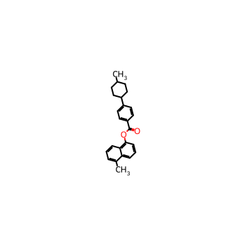 Cc1cccc2c(OC(=O)c3ccc(C4CCC(C)CC4)cc3)cccc12